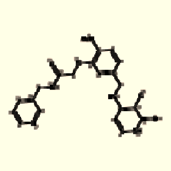 COc1ccc(CNc2cn[nH]c(=O)c2Cl)cc1OCC(=O)NCc1cccnc1